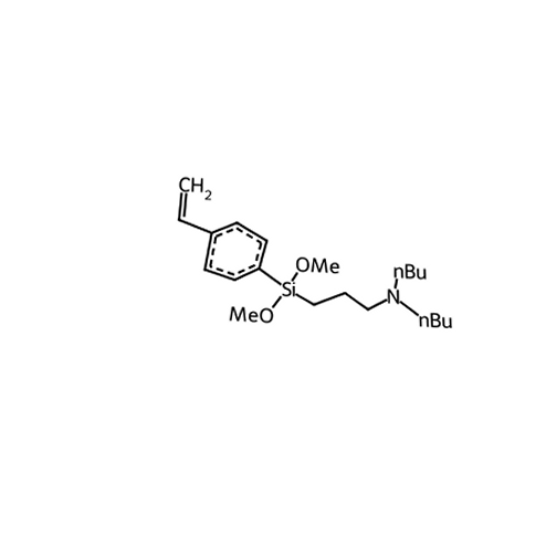 C=Cc1ccc([Si](CCCN(CCCC)CCCC)(OC)OC)cc1